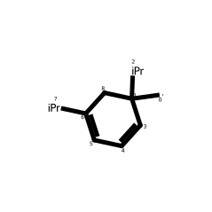 [CH2]C1(C(C)C)C=CC=C(C(C)C)C1